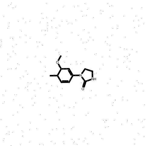 COC1C=C(N2CCNC2=O)C=CC1C